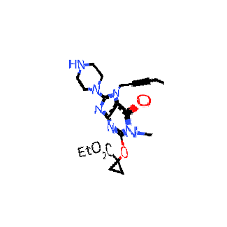 CC#CCn1c(N2CCNCC2)nc2nc(OC3(C(=O)OCC)CC3)n(C)c(=O)c21